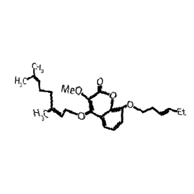 CCC=CCCOc1cccc2c(OCC=C(C)CCC=C(C)C)c(OC)c(=O)oc12